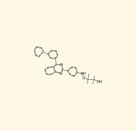 CC(C)(O)C(C)(C)OBc1ccc(-c2nc(-c3cccc(-c4ccccc4)c3)c3ccccc3n2)cc1